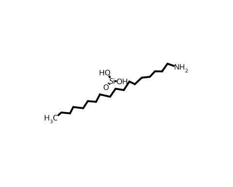 CCCCCCCCCCCCCCCCCCN.O=[Si](O)O